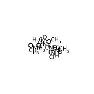 Cc1cc([C@@H](C)Nc2ccc(Cl)nc2C(=O)NS(C)(=O)=O)c2nc(-c3ccc(Nc4ccccc4C)nc3)n(C)c(=O)c2c1